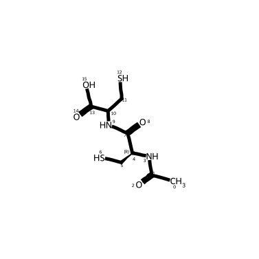 CC(=O)N[C@@H](CS)C(=O)NC(CS)C(=O)O